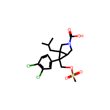 CC(C)CC12CN(C(=O)O)CC1C2(COS(C)(=O)=O)c1ccc(Cl)c(Cl)c1